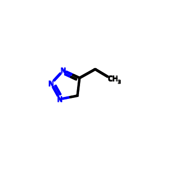 CCC1=NN=NC1